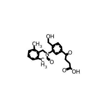 Cc1cccc(C)c1CN(C=O)c1cc(C(=O)CCC(=O)O)ccc1CO